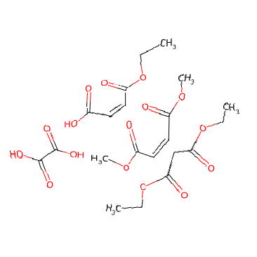 CCOC(=O)/C=C\C(=O)O.CCOC(=O)CC(=O)OCC.COC(=O)/C=C\C(=O)OC.O=C(O)C(=O)O